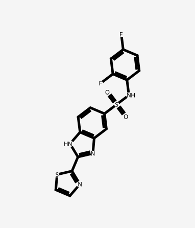 O=S(=O)(Nc1ccc(F)cc1F)c1ccc2[nH]c(-c3nccs3)nc2c1